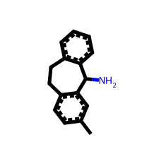 Cc1ccc2c(c1)C(N)c1ccccc1CC2